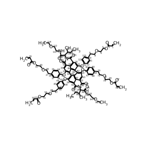 C=CC(=O)OCCOCCc1ccc(Oc2cc3c4c(cc(Oc5ccc(CCOCCOC(=O)C=C)cc5)c5c6c(Oc7ccc(CCOCCOC(=O)C=C)cc7)cc7c8c(cc(Oc9ccc(CCOCCOC(=O)C=C)cc9)c(c2c45)c86)C(=O)N(C(C(=O)NCCOCC)C(C)CC)C7=O)C(=O)N(C(C(=O)NCCOCC)C(C)CC)C3=O)cc1